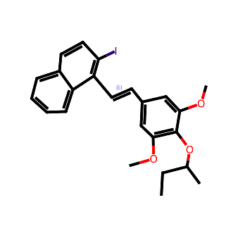 CCC(C)Oc1c(OC)cc(/C=C/c2c(I)ccc3ccccc23)cc1OC